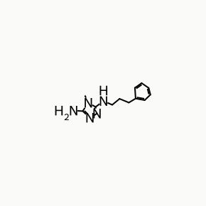 Cn1c(N)nnc1NCCCc1ccccc1